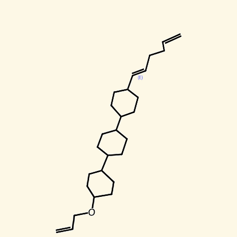 C=CCC/C=C/C1CCC(C2CCC(C3CCC(OCC=C)CC3)CC2)CC1